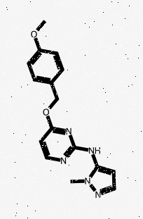 COc1ccc(COc2ccnc(Nc3ccnn3C)n2)cc1